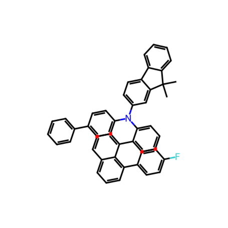 CC1(C)c2ccccc2-c2ccc(N(c3ccc(-c4ccccc4)cc3)c3ccccc3-c3cccc4cccc(-c5ccc(F)cc5)c34)cc21